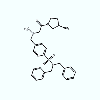 CN(CC(=O)N1CCC(N)C1)Cc1ccc(S(=O)(=O)N(Cc2ccccc2)Cc2ccccc2)cc1